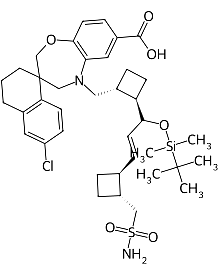 CC(C)(C)[Si](C)(C)OC(/C=C/[C@@H]1CC[C@H]1CS(N)(=O)=O)[C@@H]1CC[C@H]1CN1CC2(CCCc3cc(Cl)ccc32)COc2ccc(C(=O)O)cc21